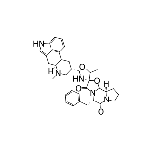 CC(C)[C@@]1(NC(=O)[C@H]2CC3c4cccc5[nH]cc(c45)C[C@@H]3N(C)C2)OC2[C@@H]3CCCN3C(=O)[C@H](Cc3ccccc3)N2C1=O